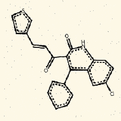 O=C(C=Cc1ccsc1)c1c(-c2ccccc2)c2cc(Cl)ccc2[nH]c1=O